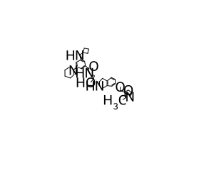 Cc1ncoc1COc1ccc2c(c1)CN[C@H](C(O)CNC(=O)c1cc(NC3CCC3)cc(N3CCCCC3)c1)C2